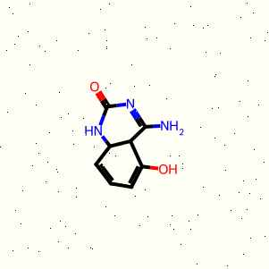 NC1=NC(=O)NC2C=CC=C(O)C12